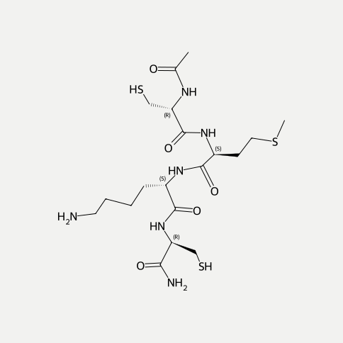 CSCC[C@H](NC(=O)[C@H](CS)NC(C)=O)C(=O)N[C@@H](CCCCN)C(=O)N[C@@H](CS)C(N)=O